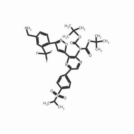 CC(C)S(=O)(=O)c1ccc(-c2cnc(N(C(=O)OC(C)(C)C)C(=O)OC(C)(C)C)c(-c3cc(-c4ccc(CN)cc4C(F)(F)F)no3)n2)cc1